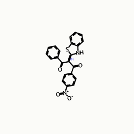 O=C(/C(C(=O)c1ccc([N+](=O)[O-])cc1)=C1/Nc2ccccc2S1)c1ccccc1